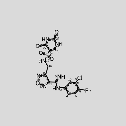 N=C(Nc1ccc(F)c(Cl)c1)c1nonc1CNS(=O)(=O)c1c[nH]c(=O)[nH]c1=O